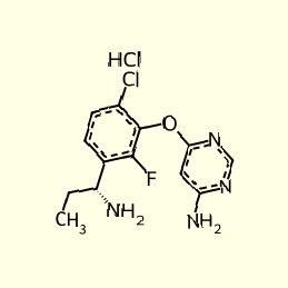 CC[C@@H](N)c1ccc(Cl)c(Oc2cc(N)ncn2)c1F.Cl